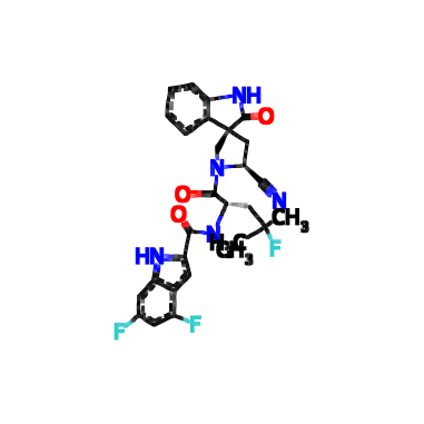 CN(C(=O)c1cc2c(F)cc(F)cc2[nH]1)[C@@H](CC(C)(C)F)C(=O)N1C[C@]2(C[C@H]1C#N)C(=O)Nc1ccccc12